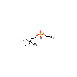 CCOS(=O)(=O)OCCC(C)(C)C